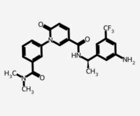 C[C@@H](NC(=O)c1ccc(=O)n(-c2cccc(C(=O)N(C)C)c2)c1)c1cc(N)cc(C(F)(F)F)c1